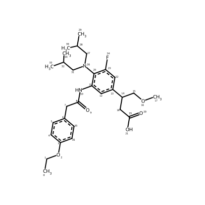 CCOc1ccc(CC(=O)Nc2cc(C(COC)CC(=O)O)cc(F)c2N(CC(C)C)CC(C)C)cc1